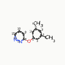 Cc1cc(C)cc(Oc2cc[c]nn2)c1